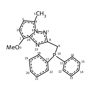 COc1ccc(C)n2nc(CP(c3ccccc3)c3ccccc3)nc12